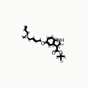 C=CCN(C)CC=CCOc1ccc2c(c1)C(C(=O)OC(C)(C)C)CN2